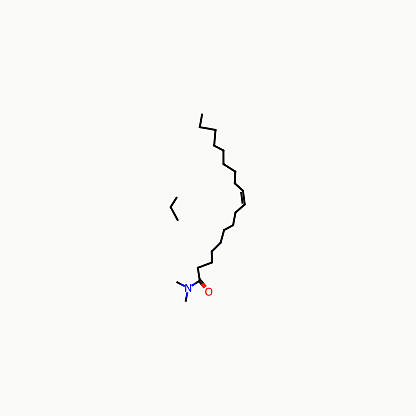 CCC.CCCCCCCC/C=C\CCCCCCCC(=O)N(C)C